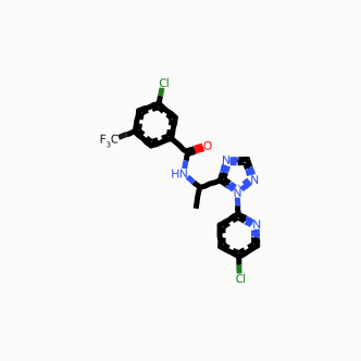 CC(NC(=O)c1cc(Cl)cc(C(F)(F)F)c1)c1ncnn1-c1ccc(Cl)cn1